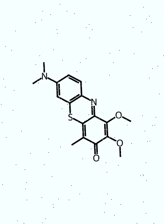 COc1c2nc3ccc(N(C)C)cc3sc-2c(C)c(=O)c1OC